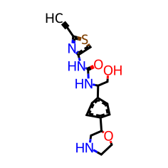 C#Cc1nc(NC(=O)NC(CO)c2ccc(C3CNCCO3)cc2)cs1